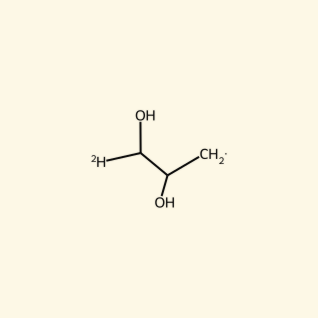 [2H]C(O)C([CH2])O